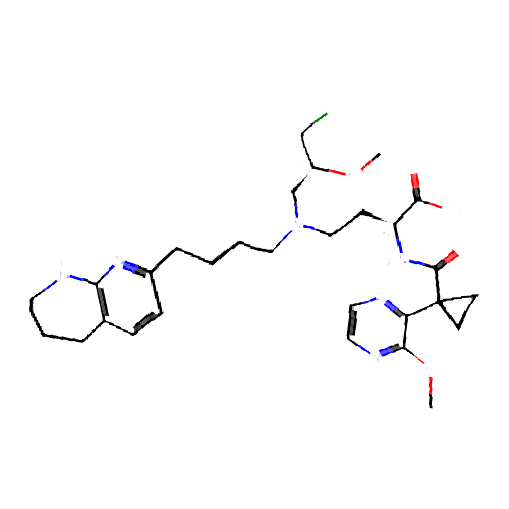 COc1nccnc1C1(C(=O)N[C@@H](CCN(CCCCc2ccc3c(n2)NCCC3)C[C@@H](CF)OC)C(=O)O)CC1